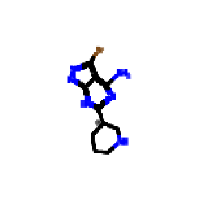 Nc1nc([C@@H]2CCCNC2)[nH]c2nnc(Br)c1-2